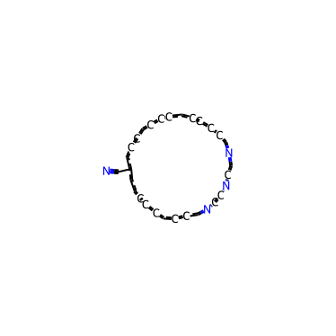 N#Cc1cccccccccccccnccnccnccccccccc1